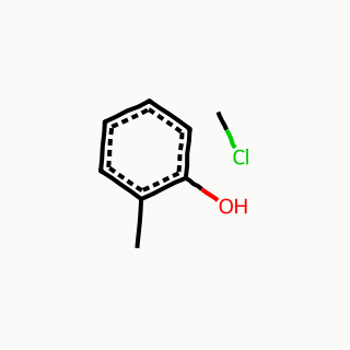 CCl.Cc1ccccc1O